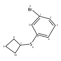 Brc1cccc(SC2CCC2)c1